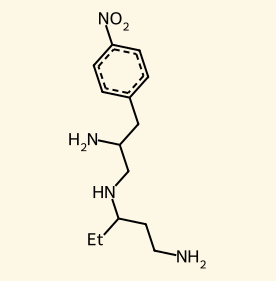 CCC(CCN)NCC(N)Cc1ccc([N+](=O)[O-])cc1